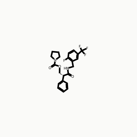 O=C(NCc1cc(C(F)(F)F)ccc1F)[C@@H](COC(=O)N1CCCC1)c1ccccc1